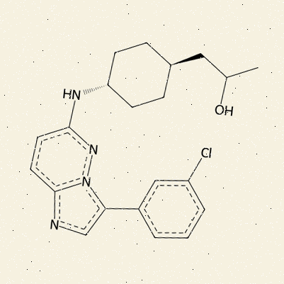 CC(O)C[C@H]1CC[C@H](Nc2ccc3ncc(-c4cccc(Cl)c4)n3n2)CC1